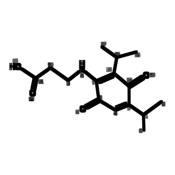 CC(C)C1=CC(=O)C(NCCC(=O)O)=C(C(C)C)C1=O